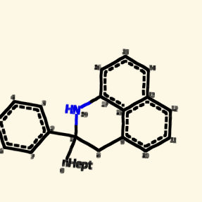 CCCCCCCC1(c2ccccc2)Cc2cccc3cccc(c23)N1